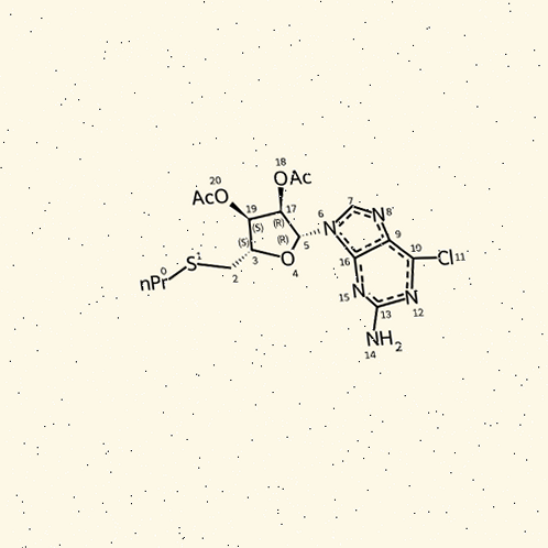 CCCSC[C@H]1O[C@@H](n2cnc3c(Cl)nc(N)nc32)[C@H](OC(C)=O)[C@@H]1OC(C)=O